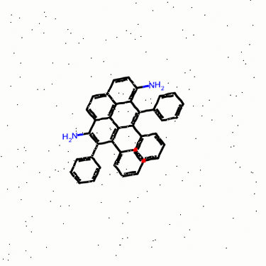 Nc1c(-c2ccccc2)c(-c2ccccc2)c2c(-c3ccccc3)c(-c3ccccc3)c3c(N)ccc4ccc1c2c43